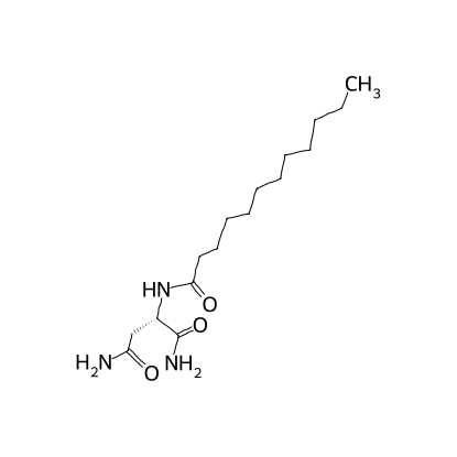 CCCCCCCCCCCC(=O)N[C@@H](CC(N)=O)C(N)=O